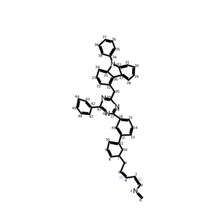 C=N/C=C\C=C/CC1C=CC=C(c2cccc(-c3nc(Cc4cccc5c4c4ccccc4n5-c4ccccc4)nc(-c4ccccc4)n3)c2)C1